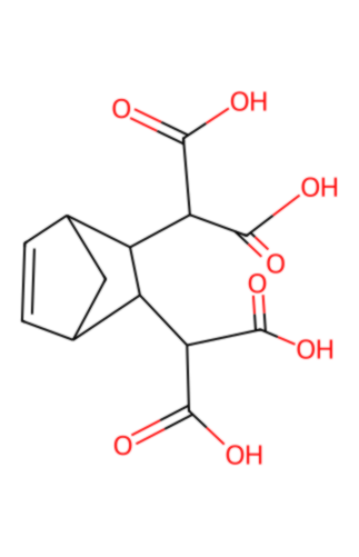 O=C(O)C(C(=O)O)C1C2C=CC(C2)C1C(C(=O)O)C(=O)O